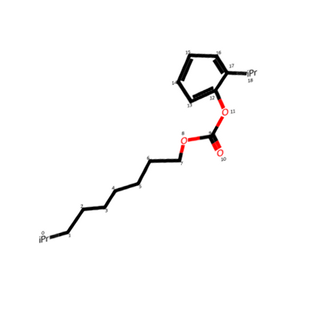 CC(C)CCCCCCCOC(=O)Oc1ccccc1C(C)C